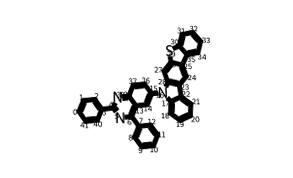 c1ccc(-c2nc(-c3ccccc3)c3cc(-n4c5ccccc5c5cc6c(cc54)sc4ccccc46)ccc3n2)cc1